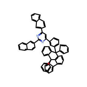 c1ccc(C2(c3cccc(-c4cc(-c5ccc6ccccc6c5)nc(-c5ccc6ccccc6c5)n4)c3)c3ccccc3C3(c4ccccc4)c4ccccc4-c4cccc2c43)cc1